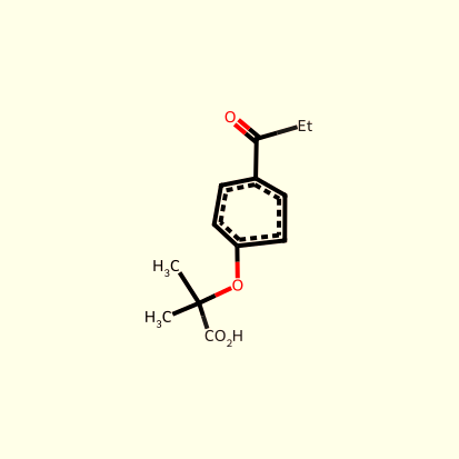 CCC(=O)c1ccc(OC(C)(C)C(=O)O)cc1